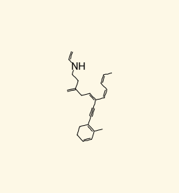 C=CNCCC(=C)C/C=C(C#CC1=C(C)C=CCC1)/C=C\C=C/C